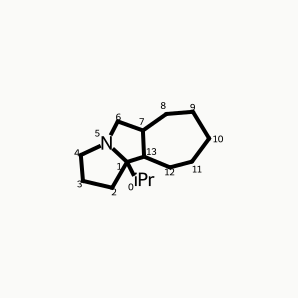 CC(C)C12CCCN1CC1CCCCCC12